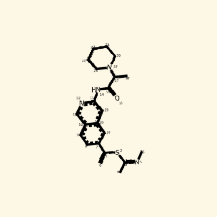 C=C(S/C(C)=N\C)c1ccc2cnc(NC(=O)C(C)N3CCCCC3)cc2c1